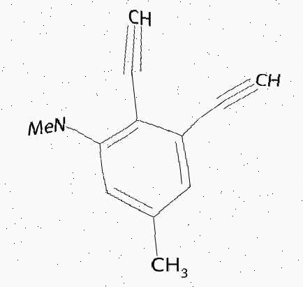 C#Cc1cc(C)cc(NC)c1C#C